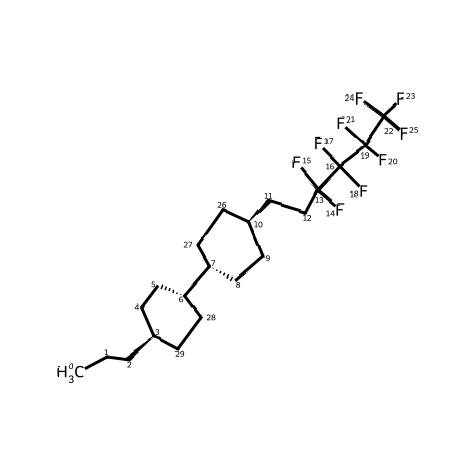 CCC[C@H]1CC[C@H]([C@H]2CC[C@H](CCC(F)(F)C(F)(F)C(F)(F)C(F)(F)F)CC2)CC1